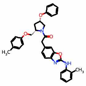 Cc1ccc(OC[C@@H]2C[C@H](Oc3ccccc3)CN2C(=O)Cc2ccc3nc(Nc4ccccc4C)oc3c2)cc1